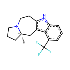 FC(F)(F)c1cccc2[nH]c3c(c12)C[C@H]1CCCN1CC3